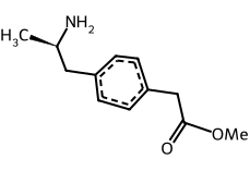 COC(=O)Cc1ccc(C[C@@H](C)N)cc1